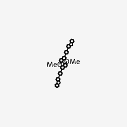 COc1ccc2cc(-c3ccc(-c4ccc5c(c4)Cc4ccccc4-5)cc3)ccc2c1-c1c(OC)ccc2cc(-c3ccc(-c4ccc5c(c4)Cc4ccccc4-5)cc3)ccc12